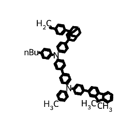 C=Cc1ccc(C23CC4CC(C2)CC(c2ccc(N(c5ccc(CCCC)cc5)c5ccc(-c6ccc(N(c7ccc(C)cc7)c7ccc(-c8ccc9c(c8)C(C)(C)c8ccccc8-9)cc7)cc6)cc5)cc2)(C4)C3)cc1